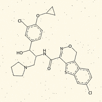 O=C(NC(CN1CCCC1)C(O)c1ccc(OC2CC2)c(Cl)c1)C1=NOCc2c1sc1cc(Cl)ccc21